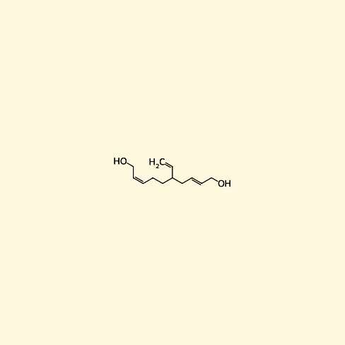 C=CC(C/C=C/CO)CC/C=C\CO